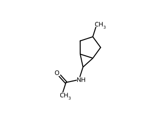 CC(=O)NC1C2CC(C)CC21